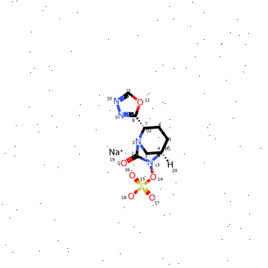 O=C1N2C[C@@H](CC[C@H]2c2nnco2)N1OS(=O)(=O)[O-].[Na+]